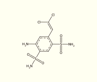 Nc1cc(C=C(Cl)Cl)c(S(N)(=O)=O)cc1S(N)(=O)=O